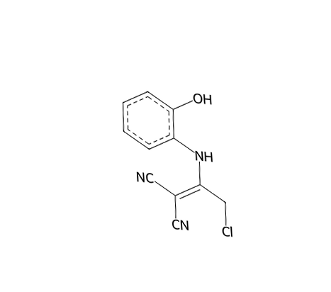 N#CC(C#N)=C(CCl)Nc1ccccc1O